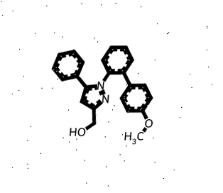 COc1ccc(-c2ccccc2-n2nc(CO)cc2-c2ccccc2)cc1